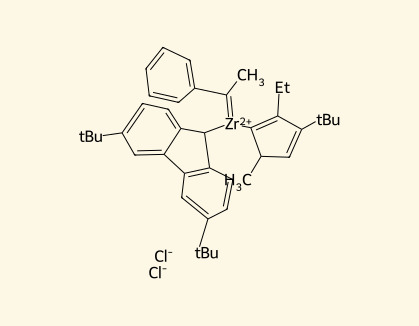 CCC1=[C](/[Zr+2](=[C](\C)c2ccccc2)[CH]2c3ccc(C(C)(C)C)cc3-c3cc(C(C)(C)C)ccc32)C(C)C=C1C(C)(C)C.[Cl-].[Cl-]